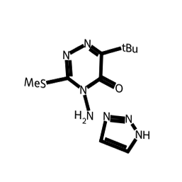 CSc1nnc(C(C)(C)C)c(=O)n1N.c1c[nH]nn1